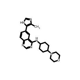 Cc1nc[nH]c1-c1ccc2ncnc(NC3CCC(N4CCOCC4)CC3)c2c1